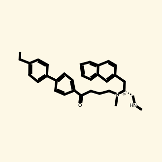 CCc1ccc(-c2ccc(C(=O)CCCN(C)[C@@H](CNC)Cc3ccc4ccccc4c3)cc2)cc1